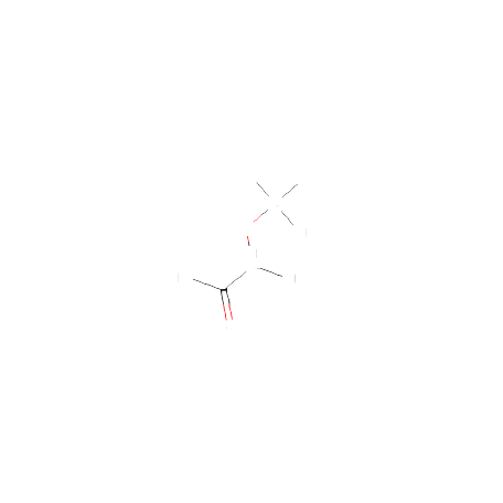 CCC(=O)[SiH](C)O[Si](C)(C)C